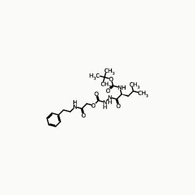 CC(C)C[C@H](NC(=O)OC(C)(C)C)C(=O)NNC(=O)OCC(=O)NCCc1ccccc1